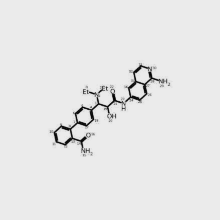 CCN(CC)C(c1ccc(-c2ccccc2C(N)=O)cc1)C(O)C(=O)Nc1ccc2c(N)nccc2c1